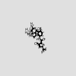 CC1(C)C(N)=N[C@](C)(c2cc(NC(=O)c3nn(C(F)F)cc3Cl)ccc2F)[C@@H]2CCNS21O